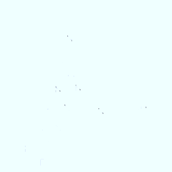 CC(C)(C)CNC(=O)c1ccc2c(c1)nc(NC(=O)c1ccc(C(F)F)s1)n2CC1CCCN1C(=O)CC#N